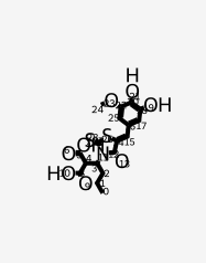 CCCC(C(C(=O)O)C(=O)O)N1C(=O)C(=Cc2cc(O)c(O)c(OC)c2)SC1=S